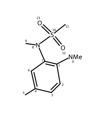 CNc1ccc(C)cc1N(C)S(C)(=O)=O